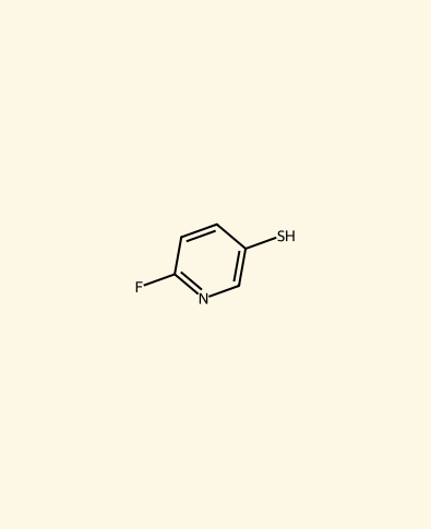 Fc1ccc(S)cn1